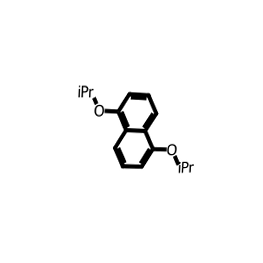 CC(C)Oc1cccc2c(OC(C)C)cccc12